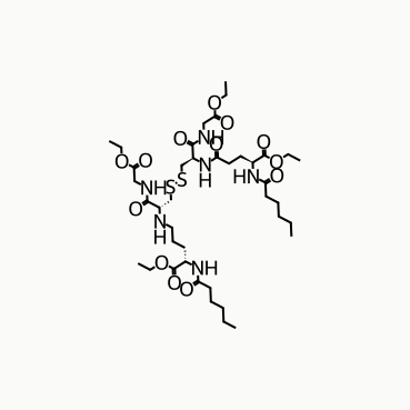 CCCCCC(=O)N[C@@H](CCCN[C@@H](CSSC[C@H](NC(=O)CC[C@H](NC(=O)CCCCC)C(=O)OCC)C(=O)NCC(=O)OCC)C(=O)NCC(=O)OCC)C(=O)OCC